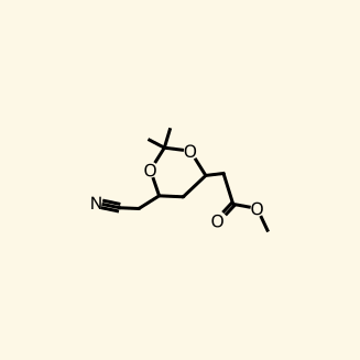 COC(=O)CC1CC(CC#N)OC(C)(C)O1